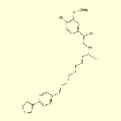 COCc1cc(C(O)CNC(C)CCCCOCCCc2ccc(N3CCCC3)cc2)ccc1O